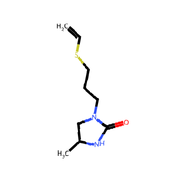 C=CSCCCN1CC(C)NC1=O